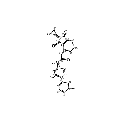 Cc1cncc(-c2ncc(NC(=O)CN3CCCC4=C3C(=O)N(C3CC3)C4=O)cc2C)c1